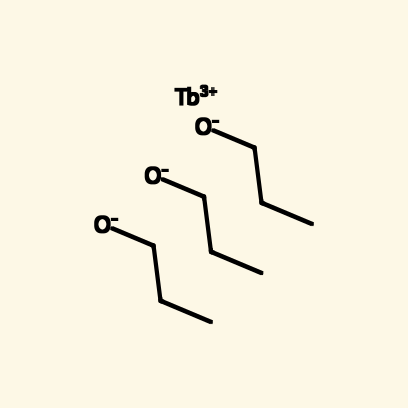 CCC[O-].CCC[O-].CCC[O-].[Tb+3]